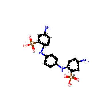 Nc1ccc(Nc2ccc(Nc3ccc(N)cc3S(=O)(=O)O)cc2)c(S(=O)(=O)O)c1